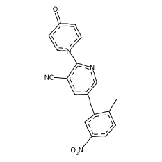 Cc1ccc([N+](=O)[O-])cc1-c1cnc(-n2ccc(=O)cc2)c(C#N)c1